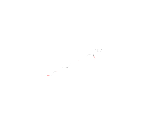 CNC(=O)CCCOCCCOCCO